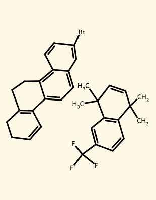 Brc1ccc2c3c(ccc2c1)C1=C(CCC=C1)CC3.CC1(C)C=CC(C)(C)c2cc(C(F)(F)F)ccc21